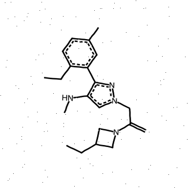 C=C(Cn1cc(NC)c(-c2cc(C)ccc2CC)n1)N1CC(CC)C1